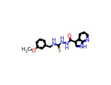 COc1cccc(CNC(=S)NNC(=O)c2c[nH]c3ncccc23)c1